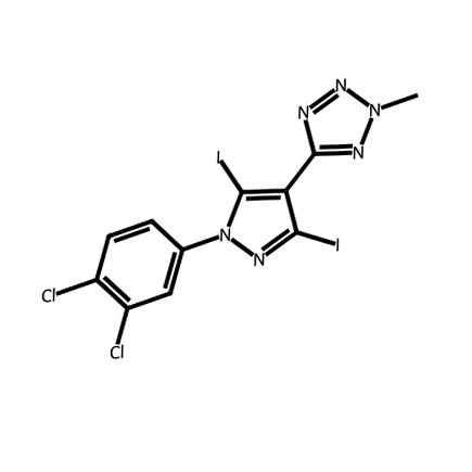 Cn1nnc(-c2c(I)nn(-c3ccc(Cl)c(Cl)c3)c2I)n1